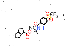 CC(C#N)(COC(=O)C1CCC2=C1CCC2)NC(=O)c1ccc(S(=O)(=O)C(F)(F)F)cc1